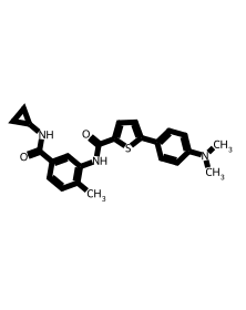 Cc1ccc(C(=O)NC2CC2)cc1NC(=O)c1ccc(-c2ccc(N(C)C)cc2)s1